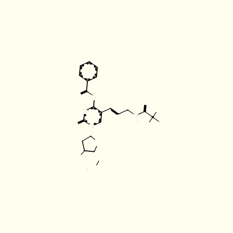 O=C(Nc1nc(=O)n([C@@H]2O[C@H](CO)C(O)[C@@H]2F)cc1/C=C/CNC(=O)C(F)(F)F)c1ccccc1